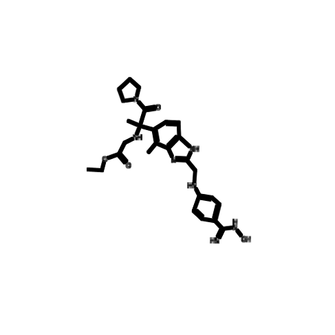 CCOC(=O)CNC(C)(C(=O)N1CCCC1)c1ccc2[nH]c(CNc3ccc(C(=N)NO)cc3)nc2c1C